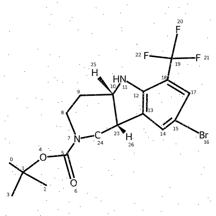 CC(C)(C)OC(=O)N1CC[C@@H]2Nc3c(cc(Br)cc3C(F)(F)F)[C@@H]2C1